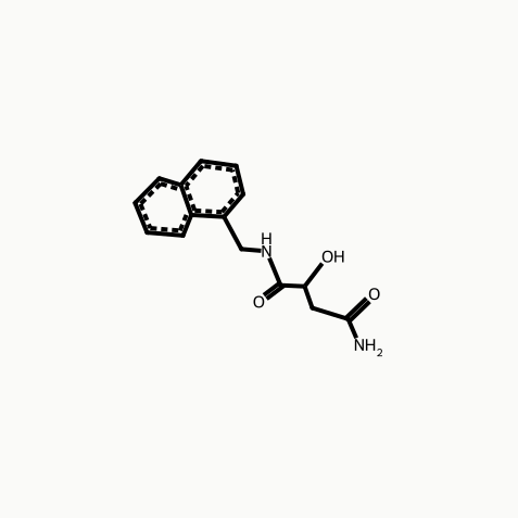 NC(=O)CC(O)C(=O)NCc1cccc2ccccc12